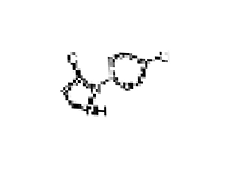 O=c1cc[nH]n1-c1ccc(Cl)cc1